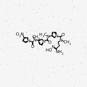 CN(CCC(N)=NO)C(=O)n1ccc(N(C)C(=O)n2ccc(N(C)C(=O)n3ccc([N+](=O)[O-])c3)c2)c1